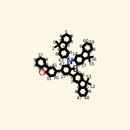 CC1(C)c2ccccc2-c2cc(N3c4cc5c(cc4B4c6cc7c(cc6-c6cc(-c8ccc9oc%10ccccc%10c9c8)cc3c64)-c3ccccc3C7(C)C)C(C)(C)c3ccccc3-5)ccc21